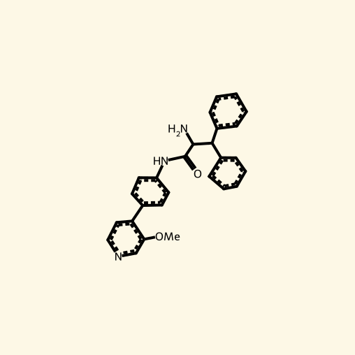 COc1cnccc1-c1ccc(NC(=O)C(N)C(c2ccccc2)c2ccccc2)cc1